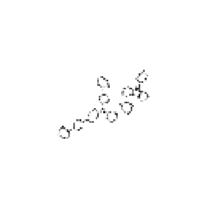 C1=CC(c2ccccc2)CC=C1c1ccc(N(c2ccc(-c3ccccc3)cc2)c2cccc(-c3cccc(-c4cccc5c4c4ccccc4n5-c4ccccc4)c3)c2)cc1